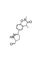 CC1C(=O)N(C)Oc2ccc(C3=NNC(C=O)CC3)cc21